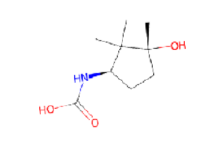 CC1(C)[C@H](NC(=O)O)CC[C@@]1(C)O